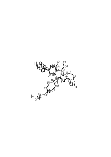 Cc1cccc2c1nc(NC1CCN(CCN)CC1)n2C1CCCc2nc(Cl)cnc21.O.O.O